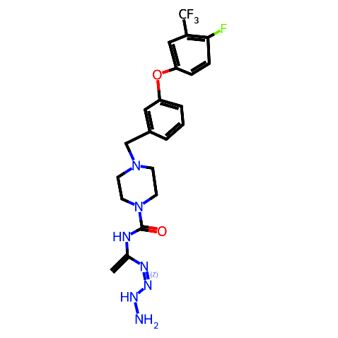 C=C(/N=N\NN)NC(=O)N1CCN(Cc2cccc(Oc3ccc(F)c(C(F)(F)F)c3)c2)CC1